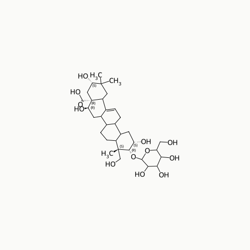 CC1(C)CC2C3=CCC4C(CCC5C4C[C@H](O)[C@H](OC4OC(CO)C(O)C(O)C4O)[C@]5(C)CO)C3C[C@@H](O)[C@@]2(C(=O)O)C[C@@H]1O